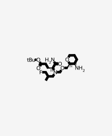 CC(CF)CN(COC[C@H]1OCCC[C@@H]1N)[C@@H](CCC(=O)OC(C)(C)C)C(N)=O